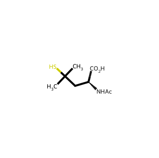 CC(=O)N[C@@H](CC(C)(C)S)C(=O)O